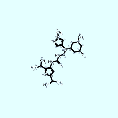 CC(C)c1cc(NC(=O)NSN(c2cnn(C)c2)[C@@H]2C[C@H](F)CN(C)C2)c(C(C)C)s1